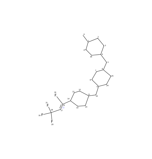 CC1CCC(CC2CCC(CC3CCC(/C(F)=C/C(F)(F)F)CC3)CC2)CC1